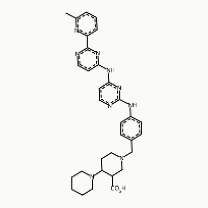 Cc1cccc(-c2nccc(Nc3ccnc(Nc4ccc(CN5CCC(N6CCCCC6)C(C(=O)O)C5)cc4)n3)n2)n1